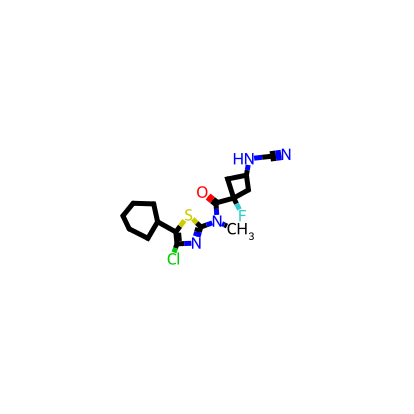 CN(C(=O)C1(F)CC(NC#N)C1)c1nc(Cl)c(C2CCCCC2)s1